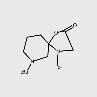 CC(C)N1CC(=O)OC12CCCN(C(C)(C)C)C2